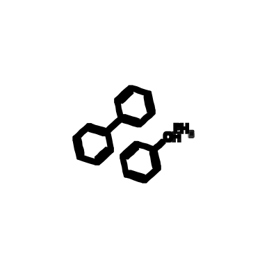 Oc1ccccc1.P.c1ccc(-c2ccccc2)cc1